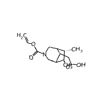 C=COC(=O)N1CC2C(CC(=O)O)C(C1)[C@H](C)[C@H]2C